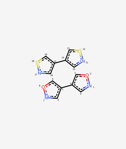 c1nocc1-c1cnoc1.c1nscc1-c1cnsc1